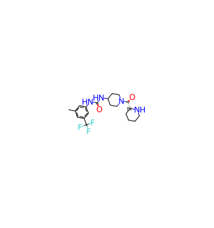 Cc1cc(NC(=O)NC2CCN(C(=O)[C@H]3CCCCN3)CC2)cc(C(F)(F)F)c1